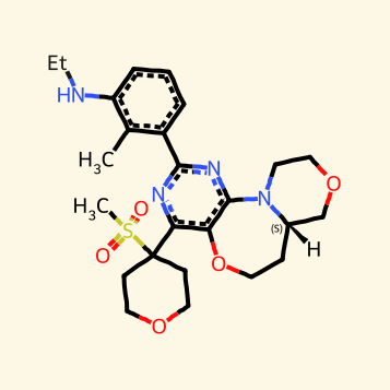 CCNc1cccc(-c2nc3c(c(C4(S(C)(=O)=O)CCOCC4)n2)OCC[C@H]2COCCN32)c1C